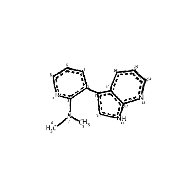 CN(C)c1nc[c]cc1-c1c[nH]c2ncccc12